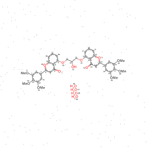 COc1cc(-c2cc(=O)c3c(OCC(O)COc4cccc5oc(-c6cc(OC)c(OC)c(OC)c6)cc(=O)c45)cccc3o2)cc(OC)c1OC.O.O.O.O